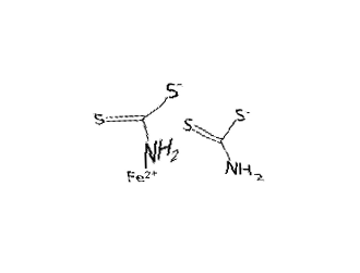 NC(=S)[S-].NC(=S)[S-].[Fe+2]